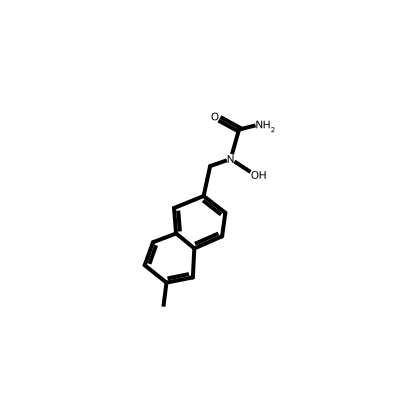 Cc1ccc2cc(CN(O)C(N)=O)ccc2c1